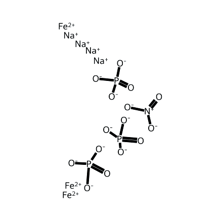 O=P([O-])([O-])[O-].O=P([O-])([O-])[O-].O=P([O-])([O-])[O-].O=[N+]([O-])[O-].[Fe+2].[Fe+2].[Fe+2].[Na+].[Na+].[Na+].[Na+]